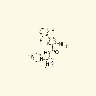 CN1CCN(c2c(NC(=O)c3nc(-c4c(F)cccc4F)sc3N)cnn2C)CC1